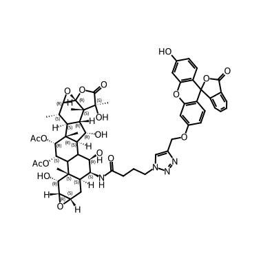 CC(=O)O[C@H]1C2C([C@@H](O)[C@@H](NC(=O)CCCn3cc(COc4ccc5c(c4)Oc4cc(O)ccc4C54OC(=O)c5ccccc54)nn3)[C@H]3C[C@@H]4O[C@@H]4[C@H](O)[C@]23C)[C@@H]2[C@@H](O)[C@@H]3[C@H]([C@H](C)[C@H]4O[C@]45OC(=O)[C@@](C)(O)[C@]35C)[C@@]2(C)[C@H]1OC(C)=O